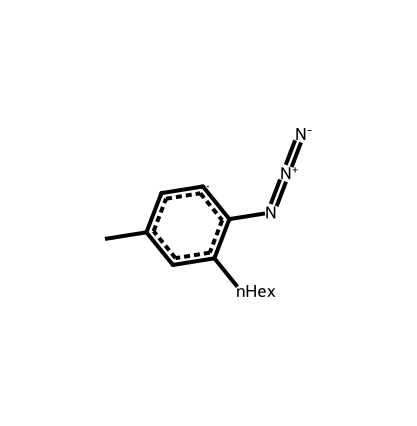 CCCCCCc1cc(C)c[c]c1N=[N+]=[N-]